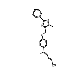 CC(=CC=CC#N)c1ccc(OCc2nc(-c3ccccc3)oc2C)cc1